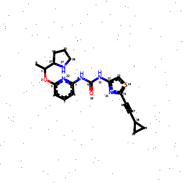 CC(Oc1cccc(NC(=O)Nc2csc(C#CC3CC3)n2)n1)C1CCCN1